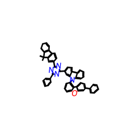 CC1(C)C2=C(C=CCC2)c2ccc(-c3nc(-c4ccccc4)nc(-c4ccc5c6ccccc6n(-c6cccc7oc8cc(-c9ccccc9)ccc8c67)c5c4)n3)cc21